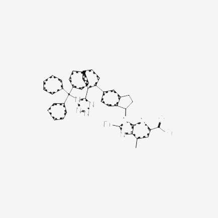 CCc1nc2c(C)cc(C(=O)C(C)C)nc2n1C1CCc2cc(-c3ccccc3-c3nnnn3C(c3ccccc3)(c3ccccc3)c3ccccc3)ccc21